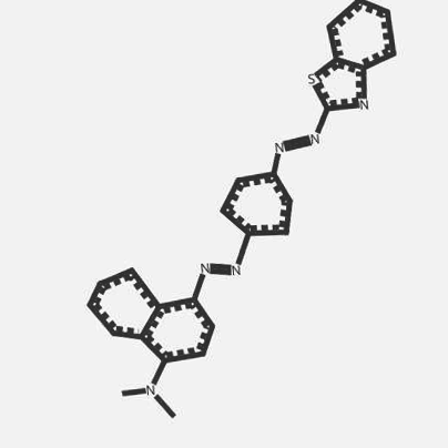 CN(C)c1ccc(N=Nc2ccc(N=Nc3nc4ccccc4s3)cc2)c2ccccc12